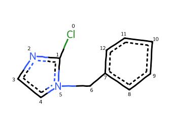 Clc1nccn1Cc1ccccc1